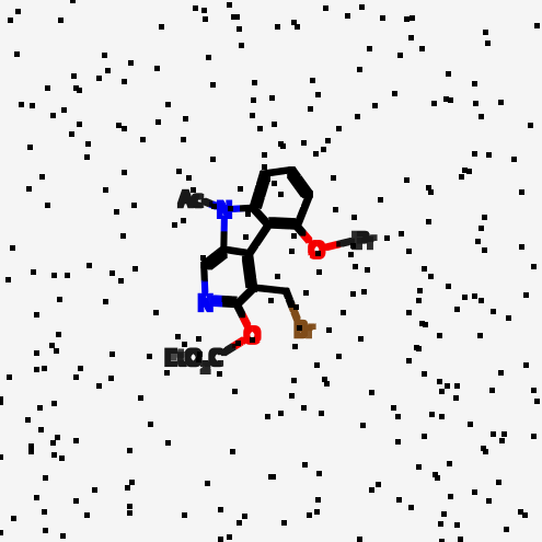 CCOC(=O)Oc1ncc2c(c1CBr)c1c(OC(C)C)cccc1n2C(C)=O